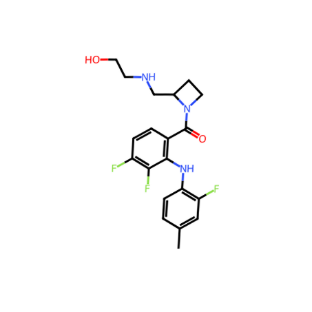 Cc1ccc(Nc2c(C(=O)N3CCC3CNCCO)ccc(F)c2F)c(F)c1